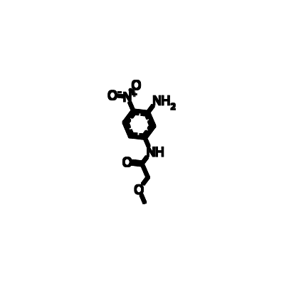 COCC(=O)Nc1ccc([N+](=O)[O-])c(N)c1